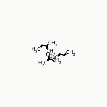 C=C(C)C.C=CC(=C)C.C=CC=C